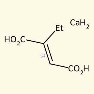 CC/C(=C\C(=O)O)C(=O)O.[CaH2]